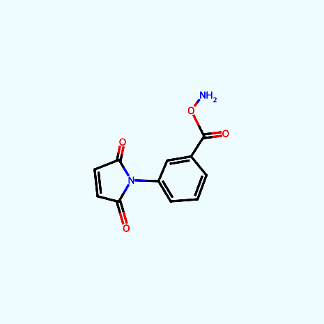 NOC(=O)c1cccc(N2C(=O)C=CC2=O)c1